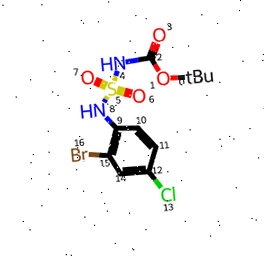 CC(C)(C)OC(=O)NS(=O)(=O)Nc1ccc(Cl)cc1Br